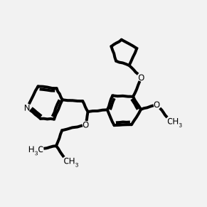 COc1ccc(C(Cc2ccncc2)OCC(C)C)cc1OC1CCCC1